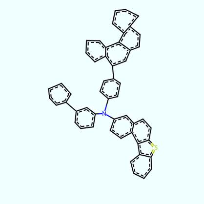 c1ccc(-c2cccc(N(c3ccc(-c4cc5ccc6ccccc6c5c5ccccc45)cc3)c3ccc4c(ccc5sc6ccccc6c54)c3)c2)cc1